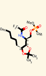 CCCCCCCCCCCCCC[C@H]1OC(C)(C)O[C@H]1[C@H](COP(=O)(OC)OC)NC(=O)C(F)(F)F